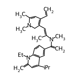 C=CC1=C(/C=C(\C)N(C)C(=C)c2ccc3c(c2)C(C(C)C)=CC(=C)N3CC)CN(C)C(C)=C1